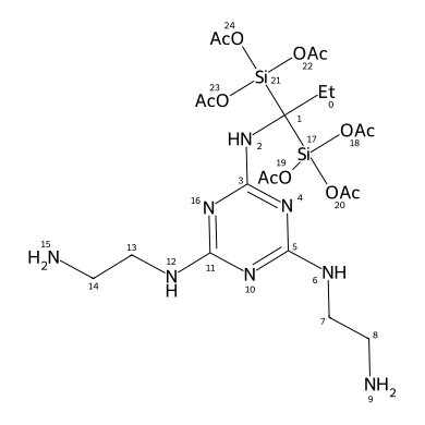 CCC(Nc1nc(NCCN)nc(NCCN)n1)([Si](OC(C)=O)(OC(C)=O)OC(C)=O)[Si](OC(C)=O)(OC(C)=O)OC(C)=O